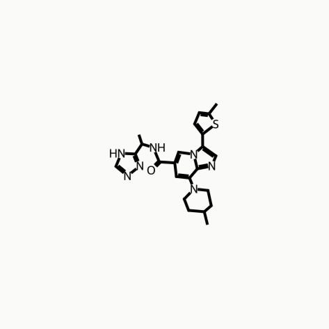 Cc1ccc(-c2cnc3c(N4CCC(C)CC4)cc(C(=O)NC(C)c4nnc[nH]4)cn23)s1